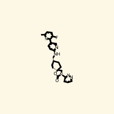 Cc1ccc(F)c(-c2ccc(NC[C@H]3CC[C@]4(CC3)CN(c3cccnn3)C(=O)O4)nc2)n1